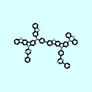 c1ccc(-c2cnc(-n3c4ccc(N(c5ccc(-c6ccc7c(c6)oc6cc8c9cc(N%10c%11ccccc%11Oc%11ccccc%11%10)ccc9n(-c9ccc(-c%10cncc(-c%11ccccc%11)n%10)cc9)c8cc67)cc5)c5ccc6c(c5)oc5ccccc56)cc4c4cc5oc6ccccc6c5cc43)cn2)cc1